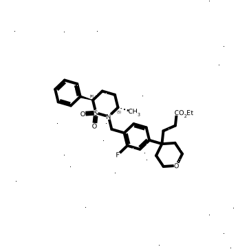 CCOC(=O)CCC1(c2ccc(CN3[C@@H](C)CC[C@H](c4ccccc4)S3(=O)=O)c(F)c2)CCOCC1